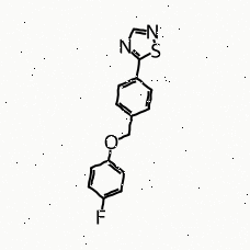 Fc1ccc(OCc2ccc(-c3ncns3)cc2)cc1